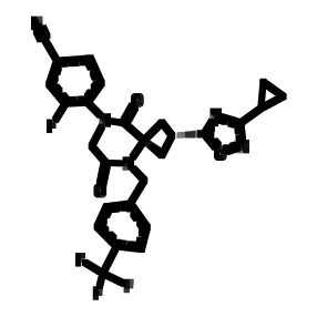 N#Cc1ccc(N2CC(=O)N(Cc3ccc(C(F)(F)F)cc3)[C@]3(C[C@@H](c4nc(C5CC5)no4)C3)C2=O)c(F)c1